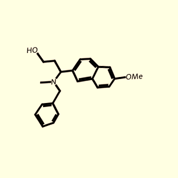 COc1ccc2cc(C(CCO)N(C)Cc3ccccc3)ccc2c1